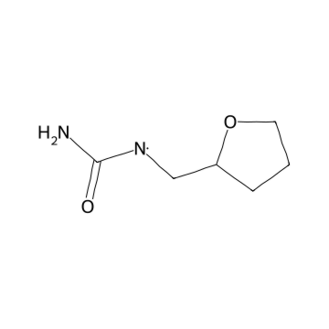 NC(=O)[N]CC1CCCO1